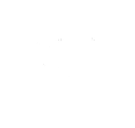 N#Cc1cccc(C(=O)c2c[nH]c(C(=O)O)c2)c1